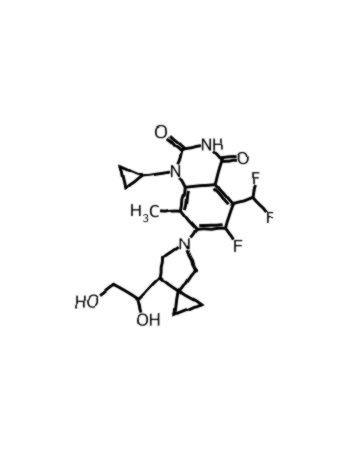 Cc1c(N2CC(C(O)CO)C3(CC3)C2)c(F)c(C(F)F)c2c(=O)[nH]c(=O)n(C3CC3)c12